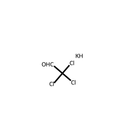 O=CC(Cl)(Cl)Cl.[KH]